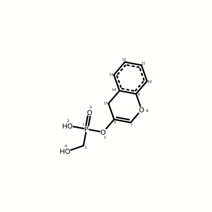 O=P(O)(CO)OC1=COc2ccccc2C1